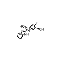 C#Cc1cc(N/C(=N/O)c2nc3ncccc3[nH]2)ccc1F